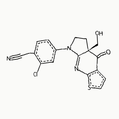 N#Cc1ccc(N2CC[C@]3(CO)C(=O)c4ccsc4N=C23)cc1Cl